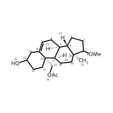 COC1CC[C@H]2[C@@H]3CC=C4CC(O)CC[C@]4(COC(C)=O)[C@@H]3CC[C@]12C